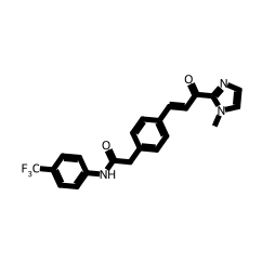 Cn1ccnc1C(=O)C=Cc1ccc(CC(=O)Nc2ccc(C(F)(F)F)cc2)cc1